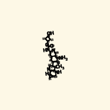 Cc1c(-c2cc3cc(NC(=O)O[C@H]4C[C@@H](O)C4)ncc3c(N)c2F)cnc2c1NCC1C[C@@H]21